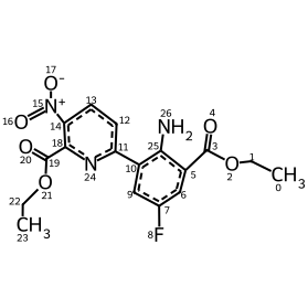 CCOC(=O)c1cc(F)cc(-c2ccc([N+](=O)[O-])c(C(=O)OCC)n2)c1N